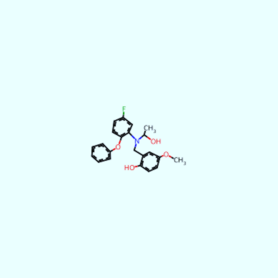 COc1ccc(O)c(CN(c2cc(F)ccc2Oc2ccccc2)C(C)O)c1